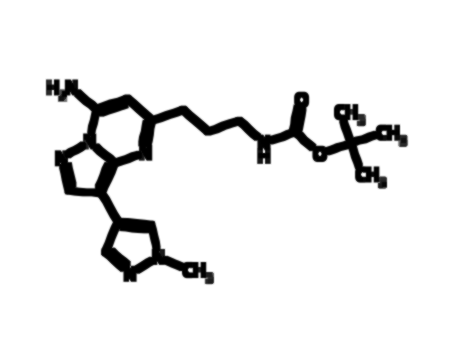 Cn1cc(-c2cnn3c(N)cc(CCCNC(=O)OC(C)(C)C)nc23)cn1